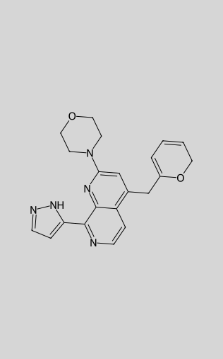 C1=CCOC(Cc2cc(N3CCOCC3)nc3c(-c4ccn[nH]4)nccc23)=C1